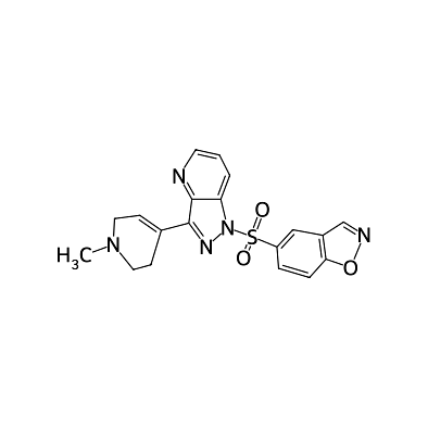 CN1CC=C(c2nn(S(=O)(=O)c3ccc4oncc4c3)c3cccnc23)CC1